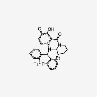 CCc1cccc(F)c1[C@@H](c1ccccc1C)N1C2CCCCN2C(=O)c2c(O)c(=O)ccn21